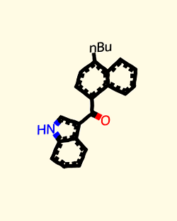 CCCCc1ccc(C(=O)c2c[nH]c3ccccc23)c2ccccc12